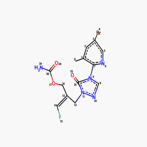 Cc1cc(Br)cnc1-n1cnn(C/C(=C\F)COC(N)=O)c1=O